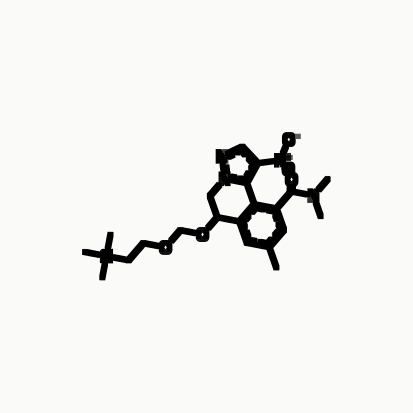 Cc1cc(C(=O)N(C)C)c2c(c1)C(OCOCC[Si](C)(C)C)Cn1ncc([N+](=O)[O-])c1-2